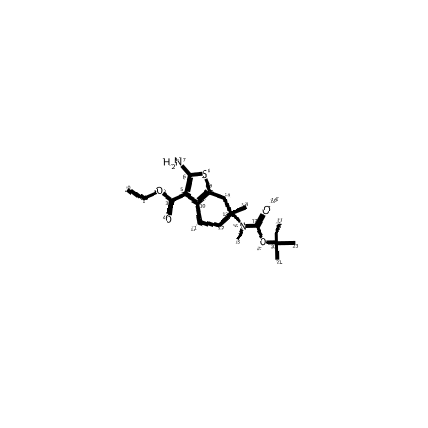 CCOC(=O)c1c(N)sc2c1CCC(C)(N(C)C(=O)OC(C)(C)C)C2